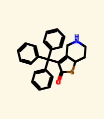 O=C1SC2CCNCC2=C1C(c1ccccc1)(c1ccccc1)c1ccccc1